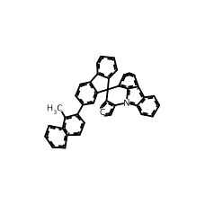 Cc1c(-c2ccc3c(c2)C2(c4ccccc4-3)c3ccccc3-n3c4ccccc4c4cccc2c43)ccc2ccccc12